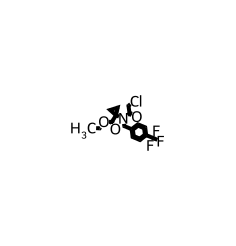 CCOC(=O)C1(N(Cc2ccc(C(F)(F)F)cc2)C(=O)CCl)CC1